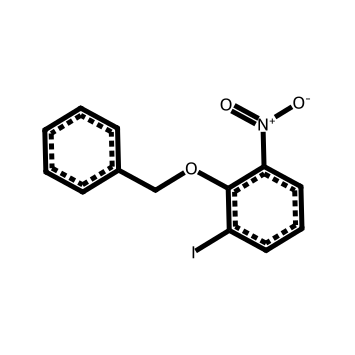 O=[N+]([O-])c1cccc(I)c1OCc1ccccc1